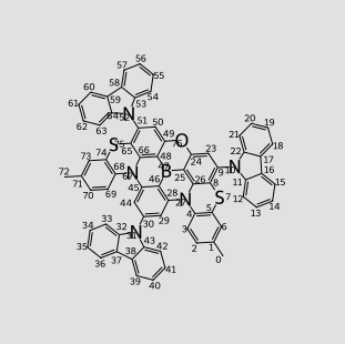 Cc1ccc2c(c1)Sc1c(-n3c4ccccc4c4ccccc43)cc3c4c1N2c1cc(-n2c5ccccc5c5ccccc52)cc2c1B4c1c(cc(-n4c5ccccc5c5ccccc54)c4c1N2c1ccc(C)cc1S4)O3